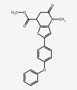 COC(=O)C1CC(=O)N(C)c2cc(-c3ccc(Oc4ccccc4)cc3)sc21